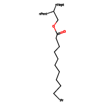 CCCCCCCC(CCCCC)COC(=O)CCCCCCCCCC(C)C